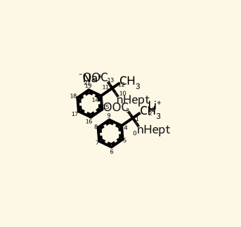 CCCCCCCC(C)(C(=O)[O-])c1ccccc1.CCCCCCCC(C)(C(=O)[O-])c1ccccc1.[Li+].[Na+]